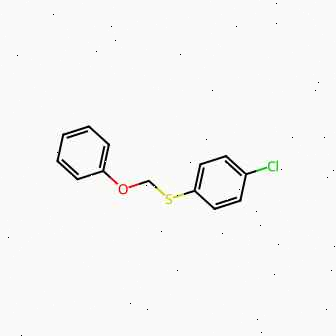 Clc1ccc(SCOc2ccccc2)cc1